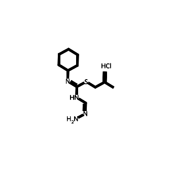 C=C(C)CS/C(=N\C1CCCCC1)N/C=N\N.Cl